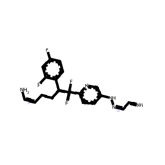 N=C/C=N\Nc1ccc(C(F)(F)C(CC/C=C\N)c2ccc(F)cc2F)nc1